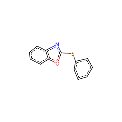 c1ccc(Sc2nc3ccccc3o2)cc1